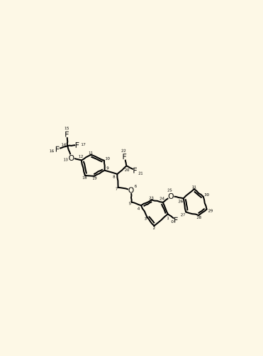 Fc1ccc(COCC(c2ccc(OC(F)(F)F)cc2)C(F)F)cc1Oc1ccccc1